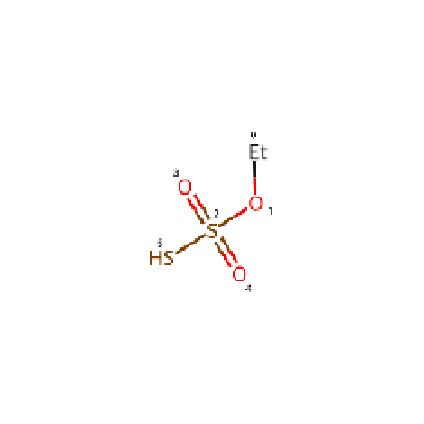 CCOS(=O)(=O)S